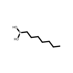 CCCCCCCP(O)O